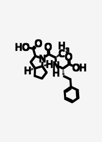 C[C@H](N[C@@H](CCc1ccccc1)C(=O)O)C(=O)N1C(C(=O)O)C[C@@H]2CCC[C@@H]21